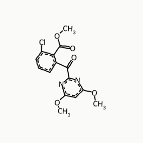 COC(=O)c1c(Cl)cccc1C(=O)c1nc(OC)cc(OC)n1